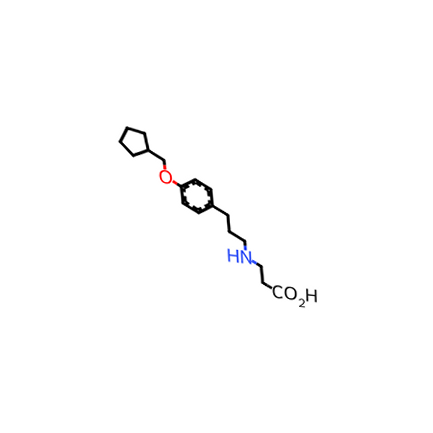 O=C(O)CCNCCCc1ccc(OCC2CCCC2)cc1